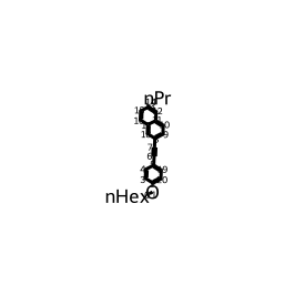 CCCCCCOc1ccc(C#Cc2ccc3cc(CCC)ccc3c2)cc1